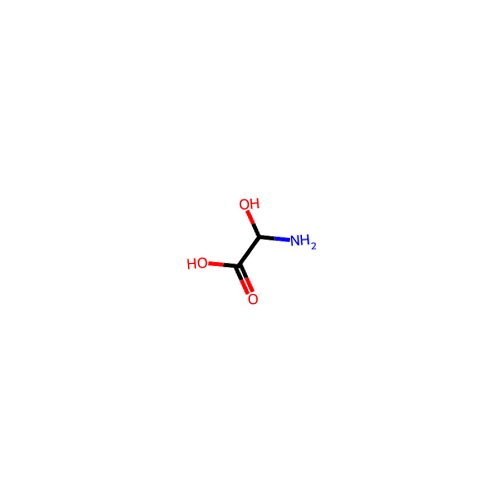 NC(O)C(=O)O